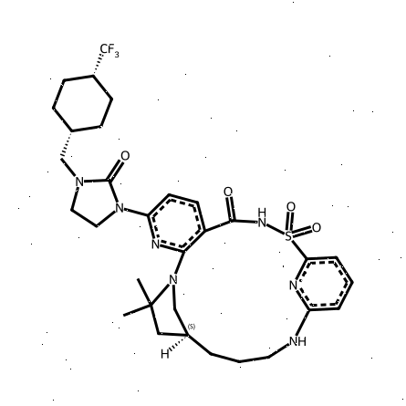 CC1(C)C[C@@H]2CCCNc3cccc(n3)S(=O)(=O)NC(=O)c3ccc(N4CCN(C[C@H]5CC[C@@H](C(F)(F)F)CC5)C4=O)nc3N1C2